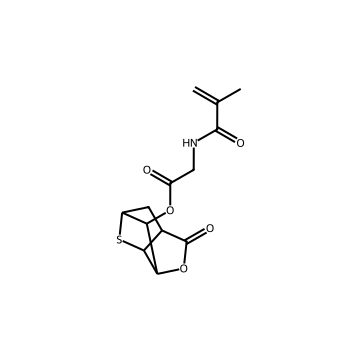 C=C(C)C(=O)NCC(=O)OC1C2CC3C(=O)OC1C3S2